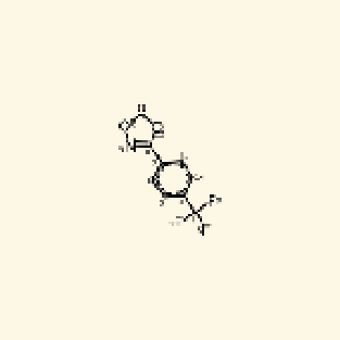 FC(F)(F)c1ccc(C2=NOCO2)cc1